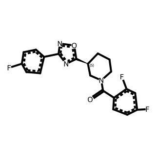 O=C(c1ccc(F)cc1F)N1CCC[C@H](c2nc(-c3ccc(F)cc3)no2)C1